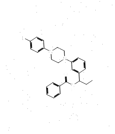 CCC(NC(=O)c1ccccc1)c1cccc(N2CCN(c3ccc(F)cc3)CC2)c1